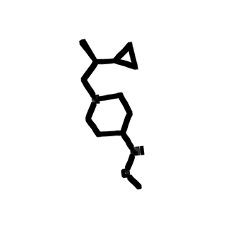 CONC1CCN(C[C@@H](C)C2CC2)CC1